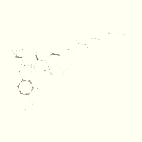 CCCCCCCSCCCCCCC=C[C@H](C(=O)N[C@@H](Cc1ccc(OCCCC)cc1)C(=O)OC)[C@@](O)(CCF)C(=O)O